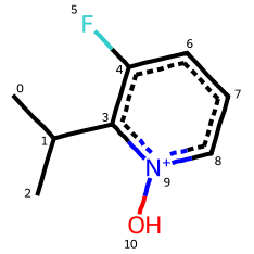 CC(C)c1c(F)ccc[n+]1O